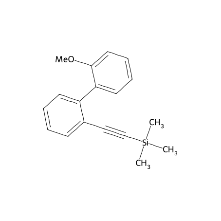 COc1ccccc1-c1ccccc1C#C[Si](C)(C)C